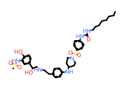 CCCCCCCCNC(=O)Nc1ccc(S(=O)(=O)N2CCC(Nc3ccc(CCNC[C@H](O)c4ccc(O)c(NS(C)(=O)=O)c4)cc3)CC2)cc1